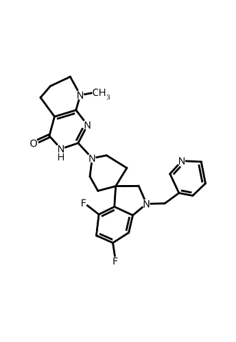 CN1CCCc2c1nc(N1CCC3(CC1)CN(Cc1cccnc1)c1cc(F)cc(F)c13)[nH]c2=O